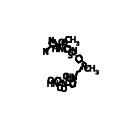 COc1cc2nc([C@H]3CC[C@H](CN(C)CCCCNc4cccc5c4C(=O)N(C4CCC(=O)NC4=O)C5=O)CC3)sc2cc1NC(=O)c1cncc(C#N)c1